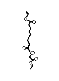 CCOC(=O)CCCCCCC(=O)OCC(=O)OCC